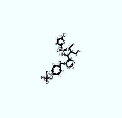 CCC(CC)C(NS(=O)(=O)c1ccc(Cl)s1)c1ncnn1Cc1ccc(OC(F)(F)F)cc1